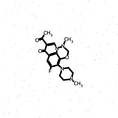 CC(=O)c1cn2c3c(c(N4CCN(C)CC4)c(F)cc3c1=O)OCN2C